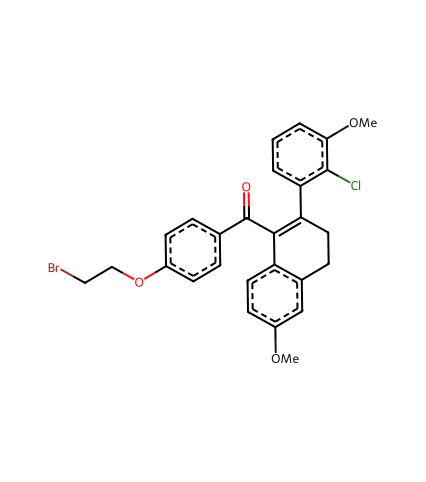 COc1ccc2c(c1)CCC(c1cccc(OC)c1Cl)=C2C(=O)c1ccc(OCCBr)cc1